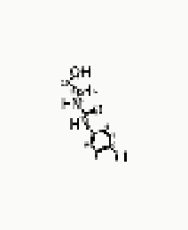 O=C(Nc1ccc(Cl)cc1)N[C@@H](I)CO